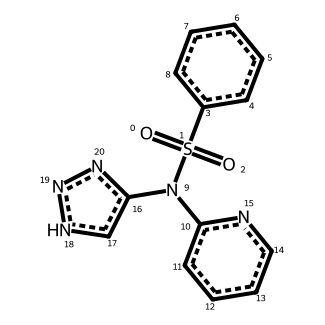 O=S(=O)(c1ccccc1)N(c1ccccn1)c1c[nH]nn1